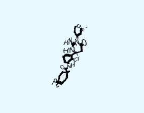 C[C@@H]1C[C@H](N2C(=N)N[C@](C)(c3cccc(NC(=O)C4(C)CCC(F)(F)CC4)c3Cl)CC2=O)CCO1